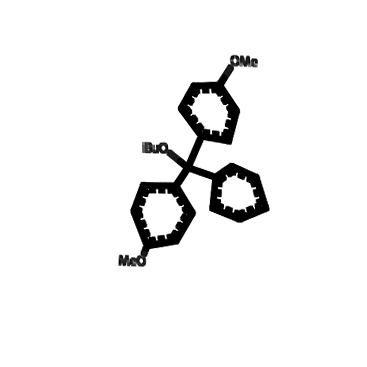 [CH2]C(C)COC(c1ccccc1)(c1ccc(OC)cc1)c1ccc(OC)cc1